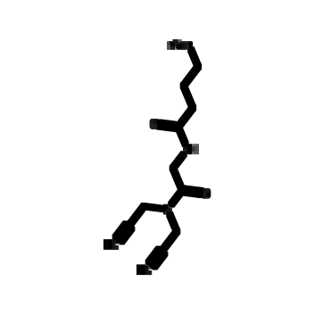 C#CCN(CC#C)C(=O)CNC(=O)CCCCCCCCCCCC